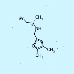 Cc1cc(CN[C@@H](C)CC(C)C)oc1C